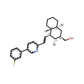 CC[C@H]1[C@H](CO)C[C@@H]2CCCC[C@H]2[C@@H]1/C=C/c1ccc(-c2cccc(F)c2)cn1